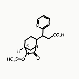 O=C(O)CC(c1ccccn1)C1CC[C@@H]2CN1C(=O)N2OS(=O)(=O)O